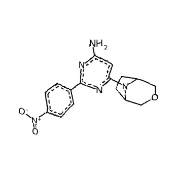 Nc1cc(N2C3CCC2COC3)nc(-c2ccc([N+](=O)[O-])cc2)n1